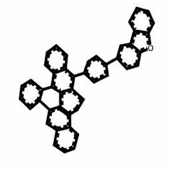 c1ccc(-c2c3ccccc3c(-c3ccc(-c4ccc5oc6ccccc6c5c4)cc3)c3ccccc23)c(-c2ccc3ccccc3c2)c1